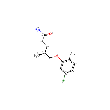 Cc1ccc(Br)cc1OC[C@@H](C)CCC(N)=O